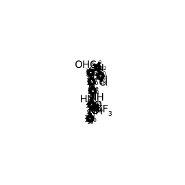 Cc1c(C=O)c(-c2cccc(N3CCN(C4=CC=C(NNc5ccc(NSc6ccccc6)c(S(=O)(=O)C(F)(F)F)c5)CC4)CC3)c2)c(-c2ccc(Cl)cc2)n1C